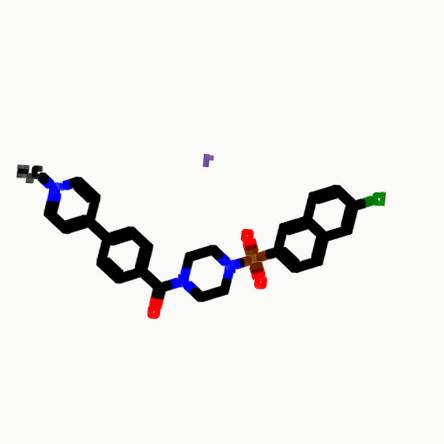 C[n+]1ccc(-c2ccc(C(=O)N3CCN(S(=O)(=O)c4ccc5cc(Cl)ccc5c4)CC3)cc2)cc1.[I-]